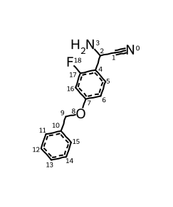 N#CC(N)c1ccc(OCc2ccccc2)cc1F